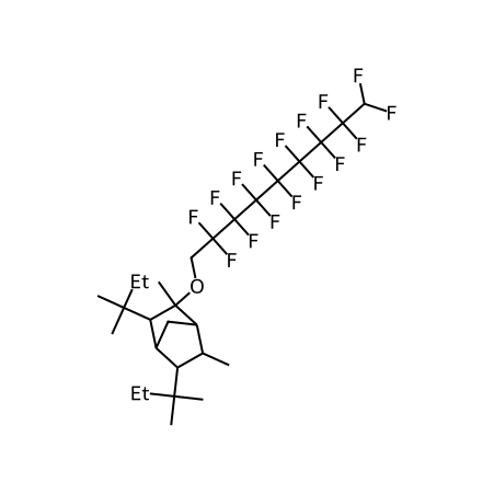 CCC(C)(C)C1C(C)C2CC1C(C(C)(C)CC)C2(C)OCC(F)(F)C(F)(F)C(F)(F)C(F)(F)C(F)(F)C(F)(F)C(F)(F)C(F)F